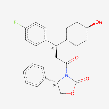 O=C(C[C@@H](c1ccc(F)cc1)[C@H]1CC[C@H](O)CC1)N1C(=O)OC[C@@H]1c1ccccc1